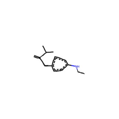 C=C(Cc1ccc(NCC)cc1)C(C)C